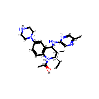 CC[C@H]1[C@H](C)C(Nc2cnc(C)cn2)c2cc(N3CCNCC3)ccc2N1C(C)=O